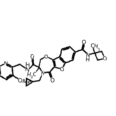 COc1cccnc1CNC(=O)C1(C)COc2c(oc3cc(C(=O)NC4(C)COC4)ccc23)C(=O)N1CC1CC1